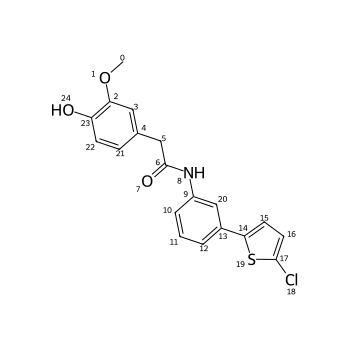 COc1cc(CC(=O)Nc2cccc(-c3ccc(Cl)s3)c2)ccc1O